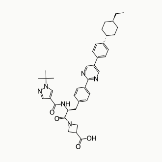 CC[C@H]1CC[C@H](c2ccc(-c3cnc(-c4ccc(C[C@H](NC(=O)c5cnn(C(C)(C)C)c5)C(=O)N5CC(C(=O)O)C5)cc4)nc3)cc2)CC1